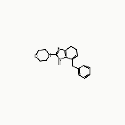 C1=C(Cc2ccccc2)c2[nH]c(N3CCOCC3)nc2CC1